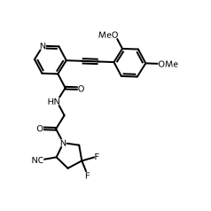 COc1ccc(C#Cc2cnccc2C(=O)NCC(=O)N2CC(F)(F)CC2C#N)c(OC)c1